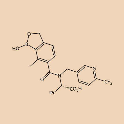 Cc1c(C(=O)N(Cc2ccc(C(F)(F)F)nc2)[C@H](C(=O)O)C(C)C)ccc2c1B(O)OC2